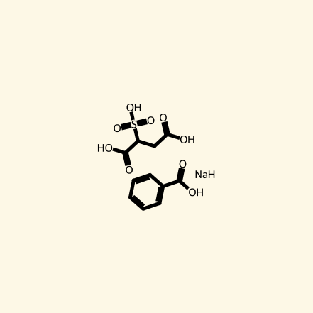 O=C(O)CC(C(=O)O)S(=O)(=O)O.O=C(O)c1ccccc1.[NaH]